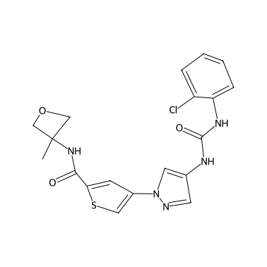 CC1(NC(=O)c2cc(-n3cc(NC(=O)Nc4ccccc4Cl)cn3)cs2)COC1